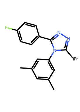 Cc1cc(C)cc(-n2c(-c3ccc(F)cc3)nnc2C(C)C)c1